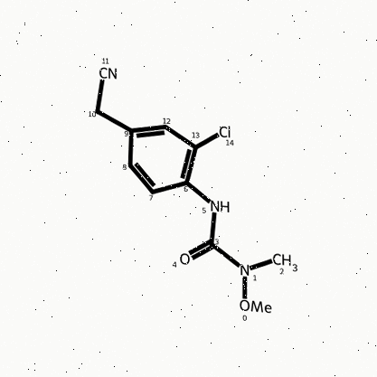 CON(C)C(=O)Nc1ccc(CC#N)cc1Cl